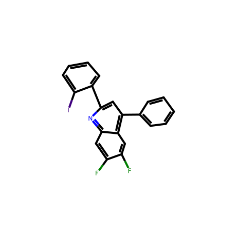 Fc1cc2nc(-c3ccccc3I)cc(-c3ccccc3)c2cc1F